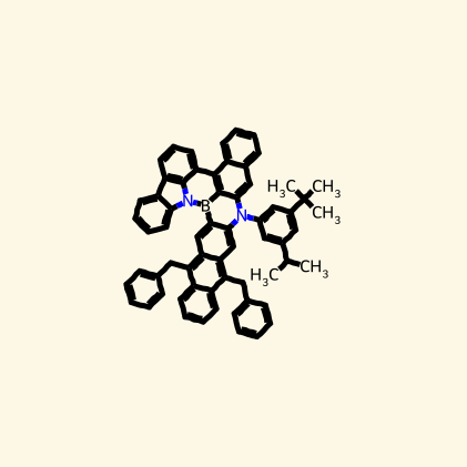 CC(C)c1cc(N2c3cc4c(Cc5ccccc5)c5ccccc5c(Cc5ccccc5)c4cc3B3c4c2cc2ccccc2c4-c2cccc4c5ccccc5n3c24)cc(C(C)(C)C)c1